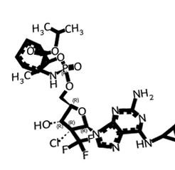 CC(C)OC(=O)C(C)N[P@@](=O)(OC[C@H]1O[C@@H](n2cnc3c(NC4CC4)nc(N)nc32)[C@@](Cl)(C(F)(F)F)[C@@H]1O)Oc1ccccc1